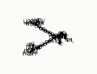 CC(C)[C@H](NC(=O)[C@H](CCC(=O)N[C@@H](CC(=O)NCCOCCOCCOCCOCCOCCOCCOCCOCCN(C[C@H](O)[C@@H](O)[C@H](O)[C@H](O)CO)C[C@H](O)[C@@H](O)[C@H](O)[C@H](O)CO)C(=O)NCCOCCOCCOCCOCCOCCOCCOCCOCCN(C[C@H](O)[C@@H](O)[C@H](O)[C@H](O)CO)C[C@H](O)[C@@H](O)[C@H](O)[C@H](O)CO)NC(=O)CCCCCN1C(=O)C=CC1O)C(=O)N[C@@H](C)C(=O)Nc1ccc(N)cc1